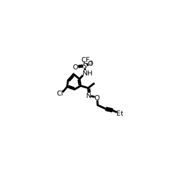 CCC#CCO/N=C(\C)c1cc(Cl)ccc1NS(=O)(=O)C(F)(F)F